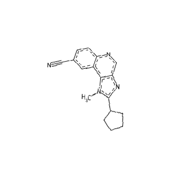 Cn1c(C2CCCC2)nc2cnc3ccc(C#N)cc3c21